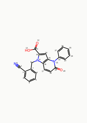 N#Cc1ccccc1Cn1c(C(=O)O)cc2c1ccc(=O)n2-c1ccccc1